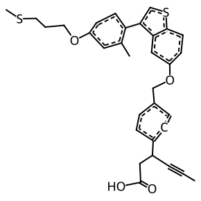 CC#CC(CC(=O)O)c1ccc(COc2ccc3scc(-c4ccc(OCCCSC)cc4C)c3c2)cc1